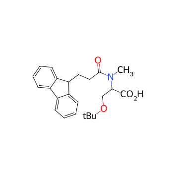 CN(C(=O)CCC1c2ccccc2-c2ccccc21)C(COC(C)(C)C)C(=O)O